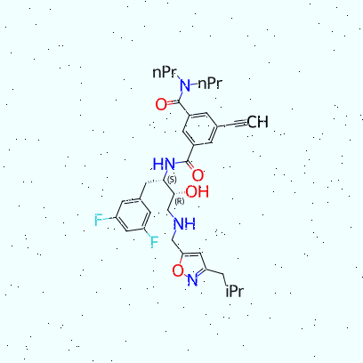 C#Cc1cc(C(=O)N[C@@H](Cc2cc(F)cc(F)c2)[C@H](O)CNCc2cc(CC(C)C)no2)cc(C(=O)N(CCC)CCC)c1